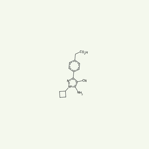 N#Cc1c(-c2ccc(CC(=O)O)cc2)nn(C2CCC2)c1N